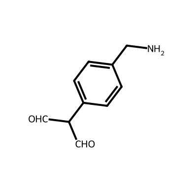 NCc1ccc(C(C=O)C=O)cc1